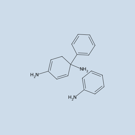 NC1=CCC(N)(c2ccccc2)C=C1.Nc1ccccc1